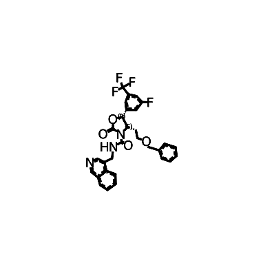 O=C(NCc1cncc2ccccc12)N1C(=O)O[C@H](c2cc(F)cc(C(F)(F)F)c2)[C@@H]1CCOCc1ccccc1